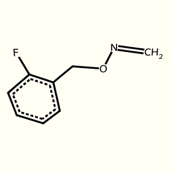 C=NOCc1ccccc1F